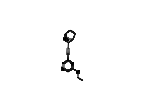 CCOc1cncc(C#CC2CC3CCC2N3)c1